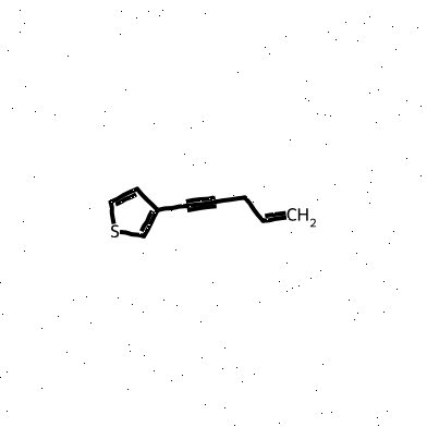 C=CCC#Cc1ccsc1